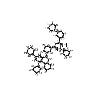 C1=C(c2cccc(-c3ccccc3)c2)NC(c2ccccc2)N=C1c1cccc(-c2cc3ccccc3c3c(-c4ccccc4)cc(-c4ccccc4)nc23)c1